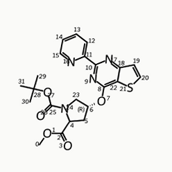 COC(=O)C1C[C@@H](Oc2nc(-c3ccccn3)nc3ccsc23)CN1C(=O)OC(C)(C)C